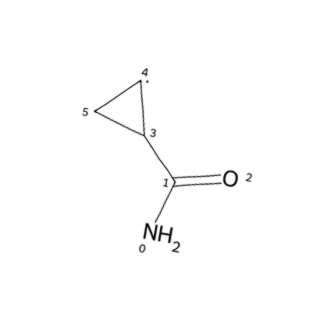 NC(=O)C1[CH]C1